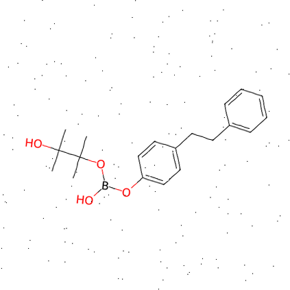 CC(C)(O)C(C)(C)OB(O)Oc1ccc(CCc2ccccc2)cc1